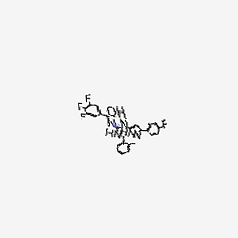 Cc1ccccc1CN/C(=N/C(=O)c1cc(F)c(F)c(F)c1)Nc1cc(-c2ccc(F)cc2)n[nH]1